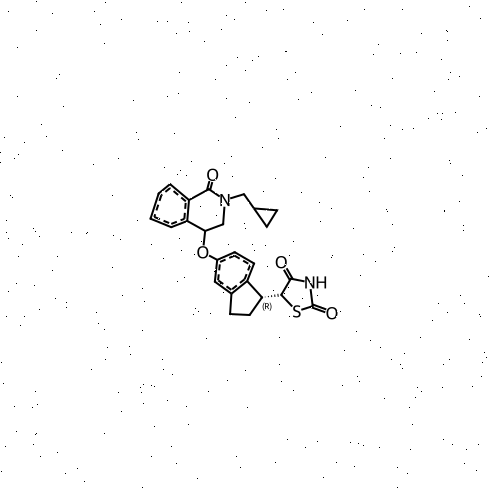 O=C1NC(=O)C([C@@H]2CCc3cc(OC4CN(CC5CC5)C(=O)c5ccccc54)ccc32)S1